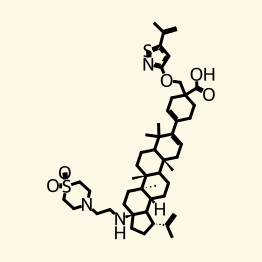 C=C(C)c1cc(OCC2(C(=O)O)CC=C(C3=CC[C@@]4(C)C(CC[C@]5(C)C4CC[C@@H]4C6[C@H](C(=C)C)CC[C@]6(NCCN6CCS(=O)(=O)CC6)CC[C@]45C)C3(C)C)CC2)ns1